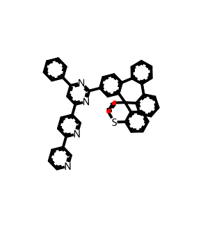 c1ccc(-c2cc(-c3ccc(-c4cccnc4)nc3)nc(-c3ccc4c(c3)C3(c5ccccc5Sc5ccccc53)c3ccccc3-c3ccccc3-4)n2)cc1